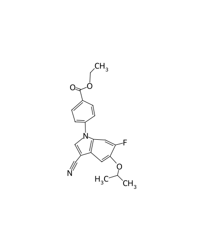 CCOC(=O)c1ccc(-n2cc(C#N)c3cc(OC(C)C)c(F)cc32)cc1